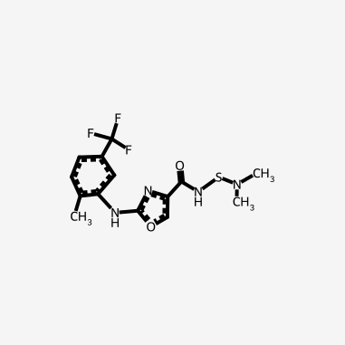 Cc1ccc(C(F)(F)F)cc1Nc1nc(C(=O)NSN(C)C)co1